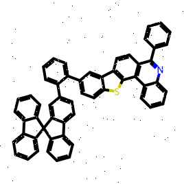 c1ccc(-c2nc3ccccc3c3c2ccc2c4cc(-c5ccccc5-c5ccc6c(c5)C5(c7ccccc7-c7ccccc75)c5ccccc5-6)ccc4sc23)cc1